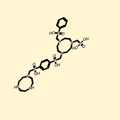 O=P(O)(O)CN1CCN(CP(=O)(O)c2ccccc2)CCN(CP(=O)(O)c2ccc(P(=O)(O)CN3CCNCCNCC3)cc2)CC1